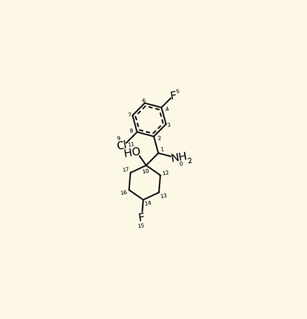 NC(c1cc(F)ccc1Cl)C1(O)CCC(F)CC1